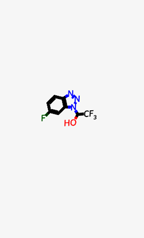 OC(n1nnc2ccc(F)cc21)C(F)(F)F